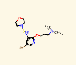 CN(C)CCCOc1ncc(Br)cc1NSN1CCOCC1